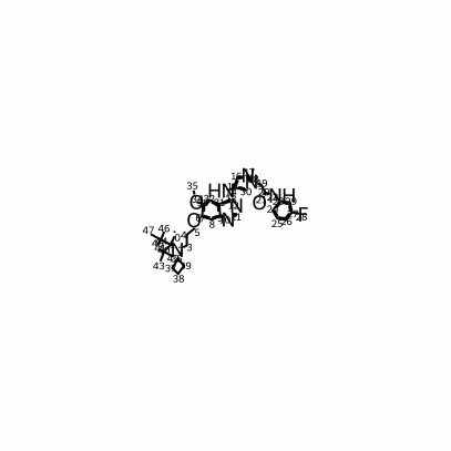 [CH2]C(N(CCCOc1cc2ncnc(Nc3cnn(CC(=O)Nc4cccc(F)c4)c3)c2cc1OC)C1CCC1)(C(C)(C)C)C(C)(C)C